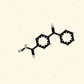 O=C(NBr)c1ccc(C(=O)c2ccccc2)cc1